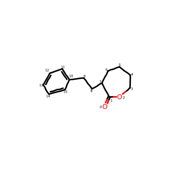 O=C1OCCCCC1CCc1ccccc1